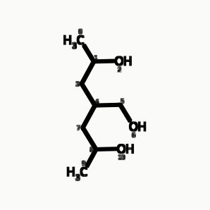 CC(O)CC(CO)CC(C)O